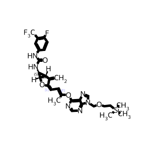 C=C1/C(=C\C=C(/C)Oc2ncnc3c2ncn3COCC[Si](C)(C)C)O[C@@H]2[C@@H](NC(=O)Nc3ccc(F)c(C(F)(F)F)c3)[C@H]12